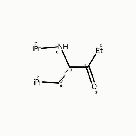 CCC(=O)[C@H](CC(C)C)NC(C)C